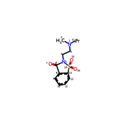 CC(C)N(C)CCN1C(=O)c2ccccc2S1(=O)=O